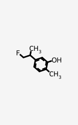 Cc1ccc(C(C)CF)cc1O